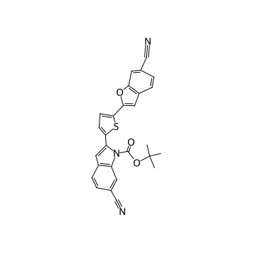 CC(C)(C)OC(=O)n1c(-c2ccc(-c3cc4ccc(C#N)cc4o3)s2)cc2ccc(C#N)cc21